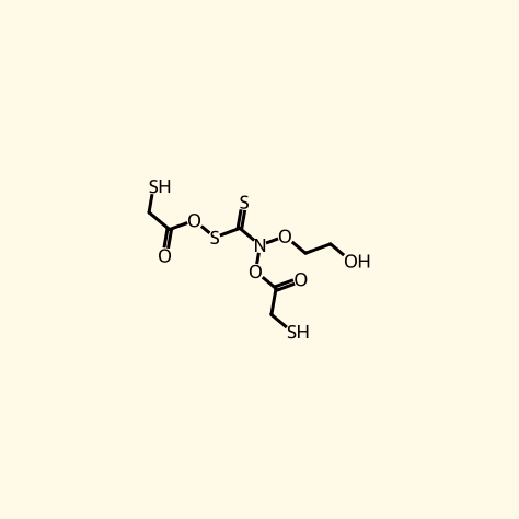 O=C(CS)OSC(=S)N(OCCO)OC(=O)CS